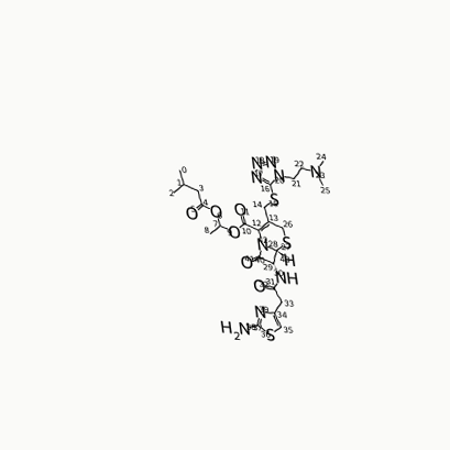 CC(C)CC(=O)OC(C)OC(=O)C1=C(CSc2nnnn2CCN(C)C)CS[C@@H]2[C@H](NC(=O)Cc3csc(N)n3)C(=O)N12